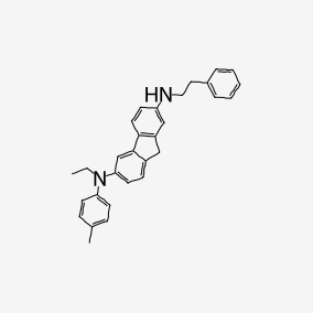 CCN(c1ccc(C)cc1)c1ccc2c(c1)-c1ccc(NCCc3ccccc3)cc1C2